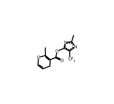 CC1=C(C(=O)Oc2sc(C)nc2C(F)(F)F)CC=CO1